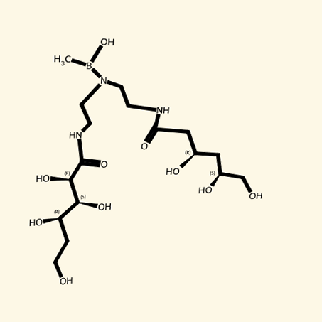 CB(O)N(CCNC(=O)C[C@H](O)C[C@H](O)CO)CCNC(=O)[C@H](O)[C@@H](O)[C@H](O)CCO